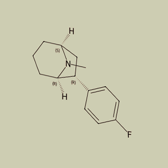 CN1[C@H]2CCC[C@@H]1[C@@H](c1ccc(F)cc1)C2